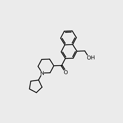 O=C(c1cc(CO)c2ccccc2c1)C1CCCN(C2CCCC2)C1